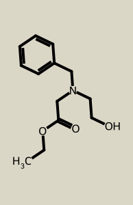 CCOC(=O)CN(CCO)Cc1ccccc1